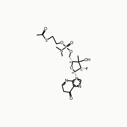 CC(=O)SCCOP(=O)(OC[C@H]1O[C@@H](n2cnc3c2N=CCC3=O)[C@@H](F)C1(C)O)N(C)C